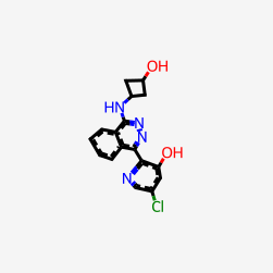 Oc1cc(Cl)cnc1-c1nnc(NC2CC(O)C2)c2ccccc12